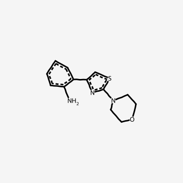 Nc1ccccc1-c1csc(N2CCOCC2)n1